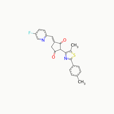 Cc1ccc(-c2nc(C3C(=O)C/C(=C\c4ccc(F)cn4)C3=O)c(C)s2)cc1